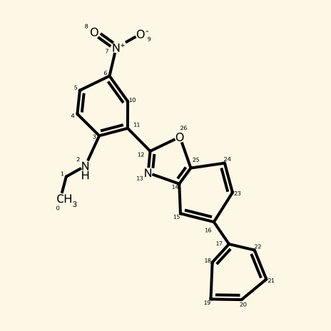 CCNc1ccc([N+](=O)[O-])cc1-c1nc2cc(-c3ccccc3)ccc2o1